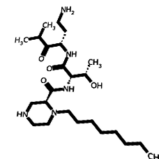 CCCCCCCCN1CCNC[C@H]1C(=O)N[C@H](C(=O)N[C@@H](CCN)C(=O)C(C)C)[C@H](C)O